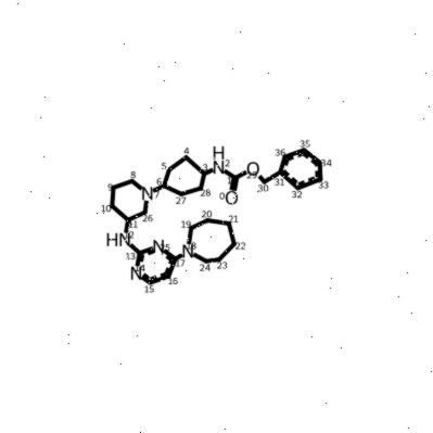 O=C(NC1CCC(N2CCCC(Nc3nccc(N4CCCCCC4)n3)C2)CC1)OCc1ccccc1